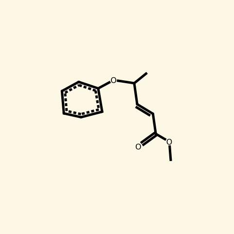 COC(=O)/C=C/C(C)Oc1ccccc1